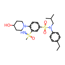 CCc1ccc(N(CC(C)C)S(=O)(=O)c2ccc(N3CCC(O)CC3)c(S(C)(=N)=O)c2)cc1